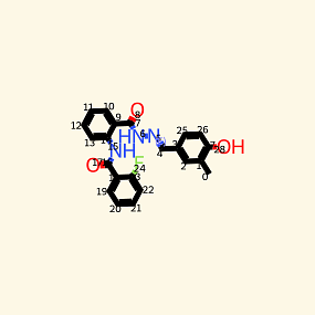 Cc1cc(/C=N/NC(=O)c2ccccc2NC(=O)c2ccccc2F)ccc1O